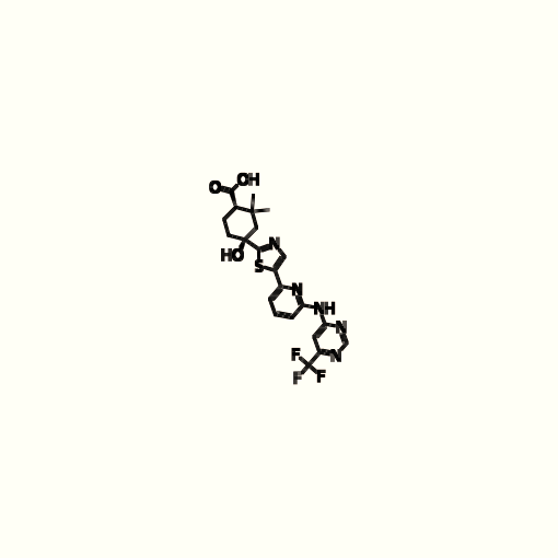 CC1(C)C[C@](O)(c2ncc(-c3cccc(Nc4cc(C(F)(F)F)ncn4)n3)s2)CC[C@H]1C(=O)O